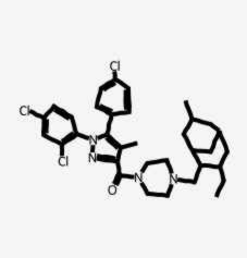 CCC1CC2CC(C)CC(C2)C1CN1CCN(C(=O)c2nn(-c3ccc(Cl)cc3Cl)c(-c3ccc(Cl)cc3)c2C)CC1